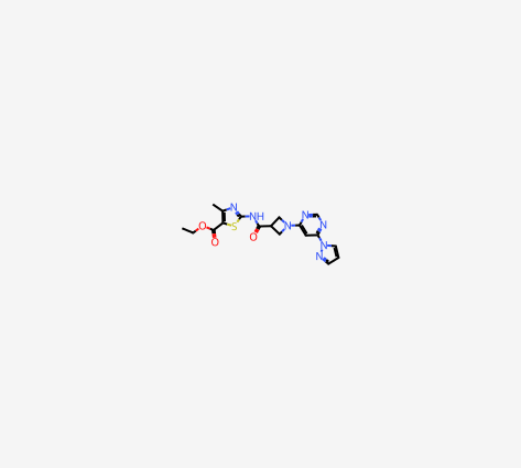 CCOC(=O)c1sc(NC(=O)C2CN(c3cc(-n4cccn4)ncn3)C2)nc1C